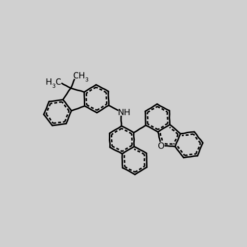 CC1(C)c2ccccc2-c2cc(Nc3ccc4ccccc4c3-c3cccc4c3oc3ccccc34)ccc21